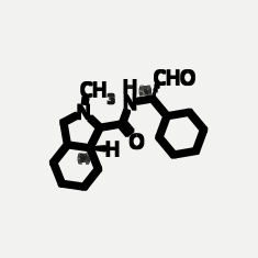 CN1CC2CCCC[C@H]2C1C(=O)N[C@H](C=O)C1CCCCC1